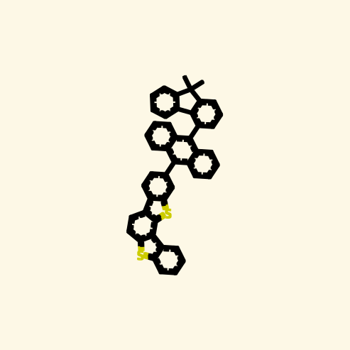 CC1(C)c2ccccc2-c2c(-c3c4ccccc4c(-c4ccc5c(c4)sc4c5ccc5sc6ccccc6c54)c4ccccc34)cccc21